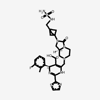 Cc1c(F)cccc1[C@@H]1N=C(c2nccs2)NC(CN2CCN3C(=O)N(C45CC(CNS(N)(=O)=O)(C4)C5)C[C@@H]3C2)=C1C(=O)O